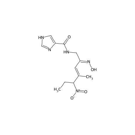 CCC(/C(C)=C/C(CNC(=O)c1c[nH]cn1)=N\O)[N+](=O)[O-]